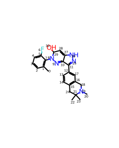 Cc1cccc(F)c1N1N=c2c(-c3ccc4c(c3)CN(C)C(C)(C)C4)n[nH]c2=CC1O